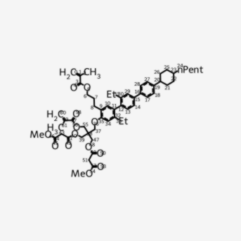 C=C(C)C(=O)OCCCc1cc(-c2ccc(-c3ccc(C4CCC(CCCCC)CC4)cc3)cc2CC)c(CC)cc1OCC(COC(=O)CC(=O)OC)(COC(=O)CC(=O)OC)COC(=O)C(=C)C